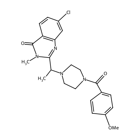 COc1ccc(C(=O)N2CCN(C(C)c3nc4cc(Cl)ccc4c(=O)n3C)CC2)cc1